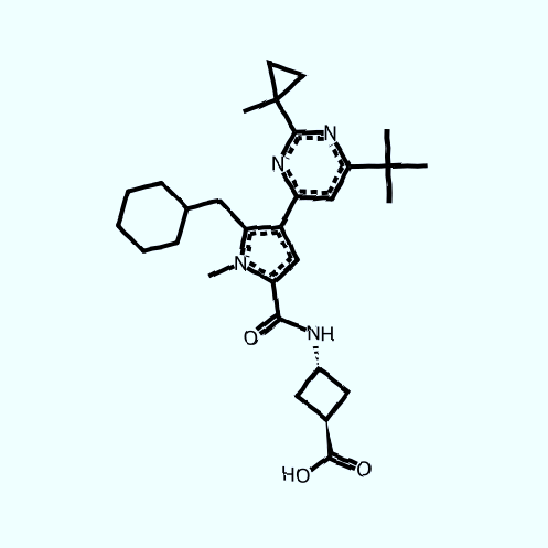 Cn1c(C(=O)N[C@H]2C[C@H](C(=O)O)C2)cc(-c2cc(C(C)(C)C)nc(C3(C)CC3)n2)c1CC1CCCCC1